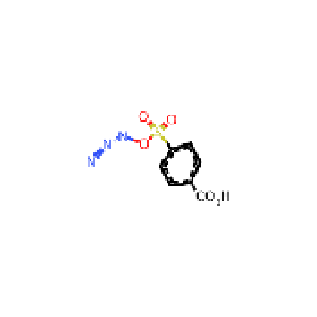 [N-]=[N+]=NOS(=O)(=O)c1ccc(C(=O)O)cc1